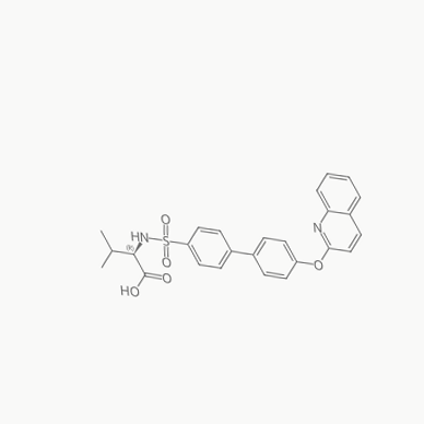 CC(C)[C@@H](NS(=O)(=O)c1ccc(-c2ccc(Oc3ccc4ccccc4n3)cc2)cc1)C(=O)O